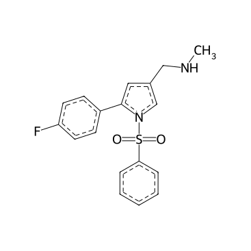 CNCc1cc(-c2ccc(F)cc2)n(S(=O)(=O)c2ccccc2)c1